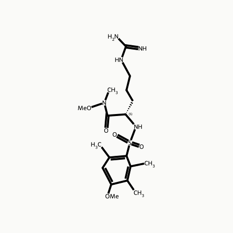 COc1cc(C)c(S(=O)(=O)N[C@@H](CCCNC(=N)N)C(=O)N(C)OC)c(C)c1C